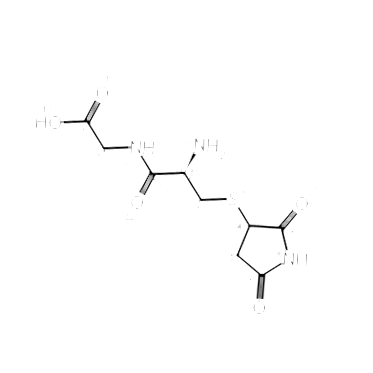 N[C@@H](CSC1CC(=O)NC1=O)C(=O)NCC(=O)O